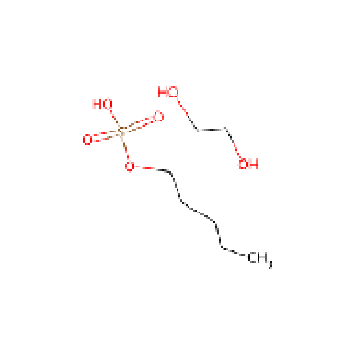 CCCCCOS(=O)(=O)O.OCCO